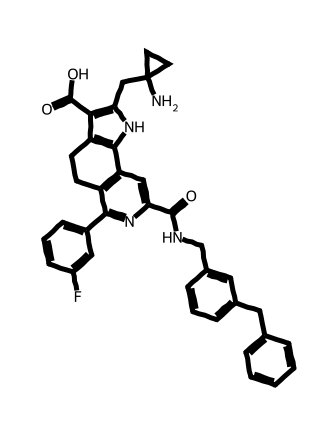 NC1(Cc2[nH]c3c(c2C(=O)O)CCc2c-3cc(C(=O)NCc3cccc(Cc4ccccc4)c3)nc2-c2cccc(F)c2)CC1